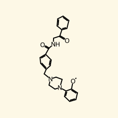 COc1ccccc1N1CCN(Cc2ccc(C(=O)NCC(=O)c3ccccc3)cc2)CC1